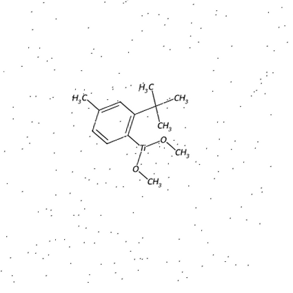 C[O][Ti]([O]C)[c]1ccc(C)cc1C(C)(C)C